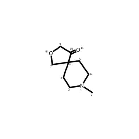 CN1CCC2(CC1)COCC2=O